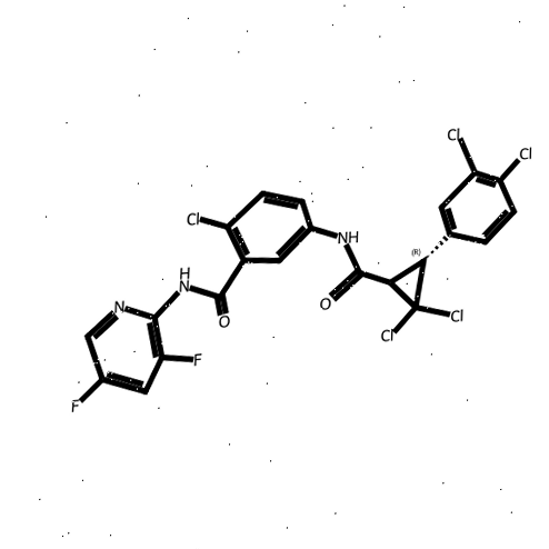 O=C(Nc1ncc(F)cc1F)c1cc(NC(=O)C2[C@H](c3ccc(Cl)c(Cl)c3)C2(Cl)Cl)ccc1Cl